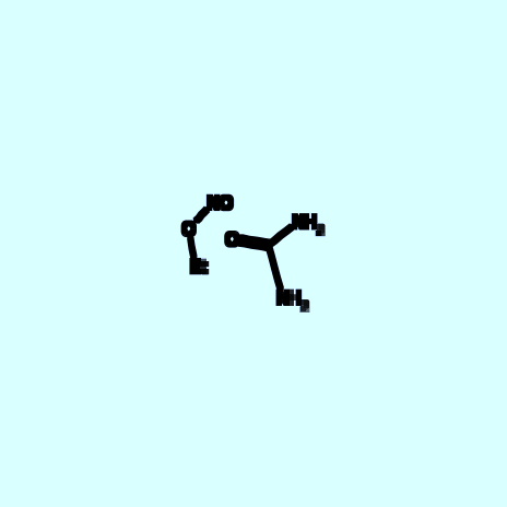 CCON=O.NC(N)=O